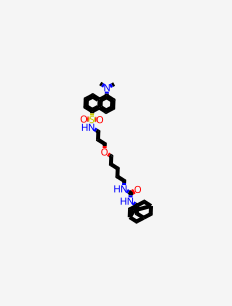 CN(C)c1cccc2c(S(=O)(=O)NCCCOCCCCCNC(=O)NC34CC5CC(CC(C5)C3)C4)cccc12